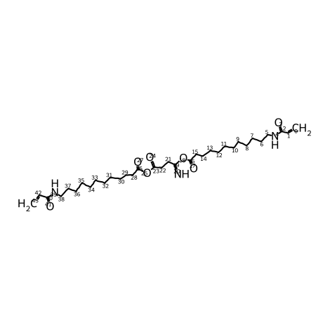 C=CC(=O)NCCCCCCCCCCCC(=O)OC(=N)CCC(=O)OC(=O)CCCCCCCCCCCNC(=O)C=C